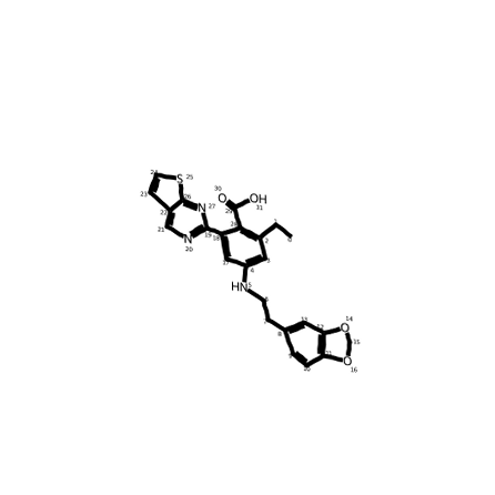 CCc1cc(NCCc2ccc3c(c2)OCO3)cc(-c2ncc3ccsc3n2)c1C(=O)O